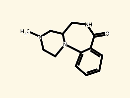 CN1CCN2c3ccccc3C(=O)NCC2C1